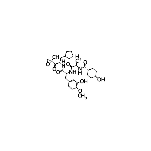 COc1ccc(C[C@H](NC(=O)[C@@H](C)NC(=O)[C@H]2CC[C@H](O)CC2)C(=O)N[C@@H](CC2CCCC2)C(=O)[C@@]2(C)CO2)cc1O